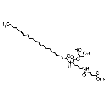 CCC=CCC=CCC=CCC=CCC=CCC=CCCC(=O)NC(CCCNC(=O)C=CC(=O)OC)C(=O)OC(CO)CO